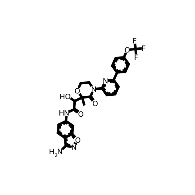 CC1(C(O)C(=O)Nc2ccc3c(N)noc3c2)OCCN(c2cccc(-c3ccc(OC(F)(F)F)cc3)n2)C1=O